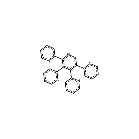 c1ccc(-c2cnc(-c3ccccn3)c(-c3ccccn3)c2-c2ccccn2)nc1